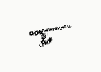 COCCOCCOCCOCCOCCCOc1nn([C@H]2CC[C@H](N3CCOCC3)CC2)cc1Nc1ncc(-c2ccc(C#N)c(O[C@@H](C)Cn3cncn3)c2)cn1